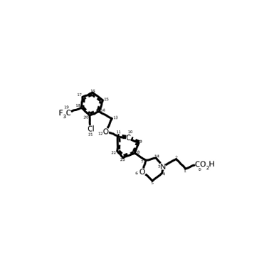 O=C(O)CCN1CCOC(c2ccc(OCc3cccc(C(F)(F)F)c3Cl)cc2)C1